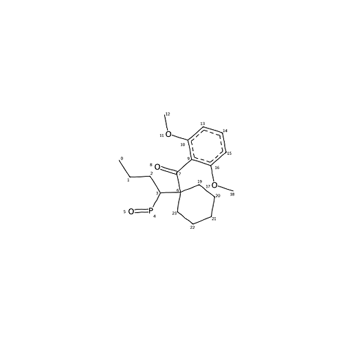 CCCC(P=O)C1(C(=O)c2c(OC)cccc2OC)CCCCC1